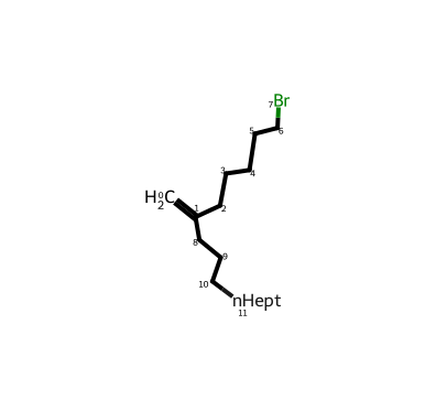 C=C(CCCCCBr)CCCCCCCCCC